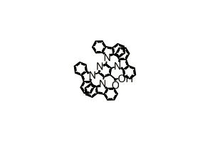 O=C(O)c1c(-n2c3ccccc3c3ccccc32)c(-n2c3ccccc3c3ccccc32)nc(-n2c3ccccc3c3ccccc32)c1-n1c2ccccc2c2ccccc21